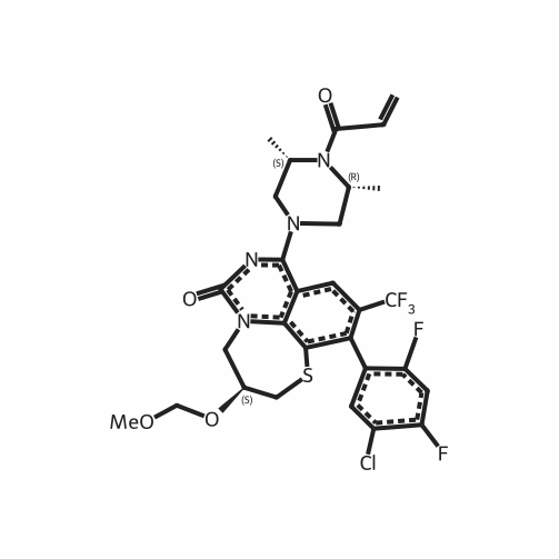 C=CC(=O)N1[C@H](C)CN(c2nc(=O)n3c4c(c(-c5cc(Cl)c(F)cc5F)c(C(F)(F)F)cc24)SC[C@@H](OCOC)C3)C[C@@H]1C